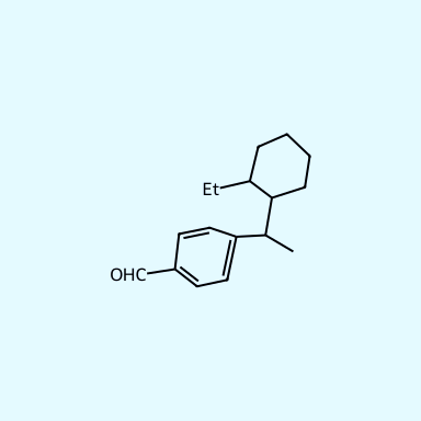 CCC1CCCCC1C(C)c1ccc(C=O)cc1